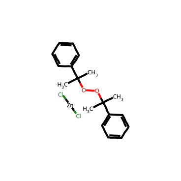 CC(C)(OOC(C)(C)c1ccccc1)c1ccccc1.[Cl][Zn][Cl]